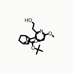 COc1ccc(C2=CC3CCC2N3C(=O)OC(C)(C)C)c(CCO)n1